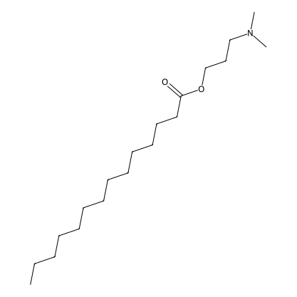 CCCCCCCCCCCCCC(=O)OCCCN(C)C